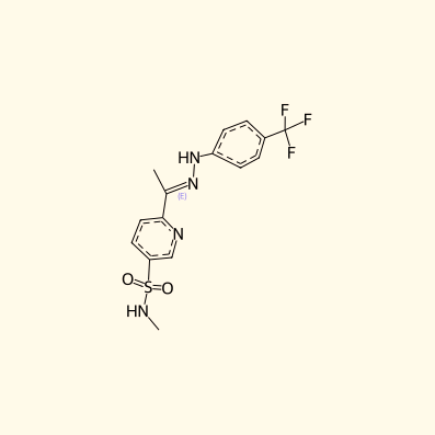 CNS(=O)(=O)c1ccc(/C(C)=N/Nc2ccc(C(F)(F)F)cc2)nc1